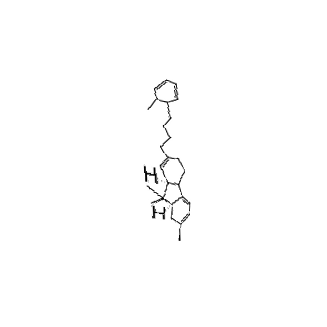 CC1C=CC=CC1CCCCC1=C[C@H]2C(CC1)C1=CC=C(I)C[C@H]1C2(C)C